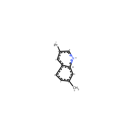 Cc1ccc2cc(C(C)C)cnc2c1